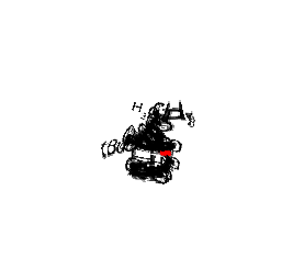 CC(C)C(C)(C)C(=O)Oc1ccc2c(c1)Oc1cc(OC(=O)C(C)(C)C)ccc1C21OC(=O)c2cc(C(=O)NCC(=O)ON3C(=O)CCC3=O)ccc21